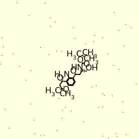 CC(C)(C)OC(=O)N[C@@H](CO)CC(=O)c1ccc2c(c1N)C(=O)CC(C)(C)O2